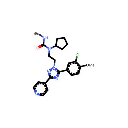 COc1ccc(-c2nc(-c3ccncc3)nn2CCN(C(=O)NC(C)(C)C)C2CCCC2)cc1Cl